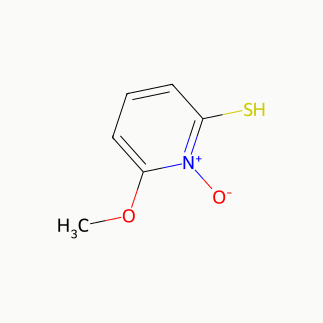 COc1cccc(S)[n+]1[O-]